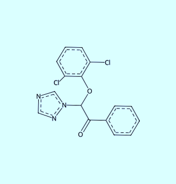 O=C(c1ccccc1)C(Oc1c(Cl)cccc1Cl)n1cncn1